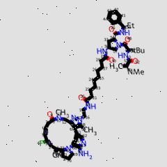 C=C1/C=C(F)\C=C/CC(=O)N(C)Cc2nn(CCNC(=O)CCCCCCCCC(=O)N[C@@H]3C[C@H](C(=O)N[C@@H](CC)c4ccccc4)N(C(=O)C(NC(=O)[C@@H](C)NC)C(C)(C)C)C3)c(C)c2-c2cnc(N)c(c2)N2CCC[C@H]12